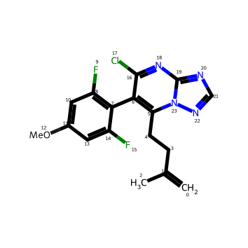 C=C(C)CCc1c(-c2c(F)cc(OC)cc2F)c(Cl)nc2ncnn12